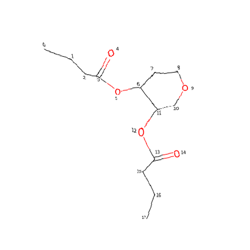 CCCC(=O)OC1CCOCC1OC(=O)CCC